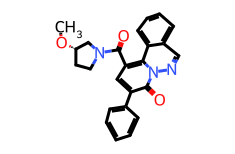 CO[C@H]1CCN(C(=O)c2cc(-c3ccccc3)c(=O)n3ncc4ccccc4c23)C1